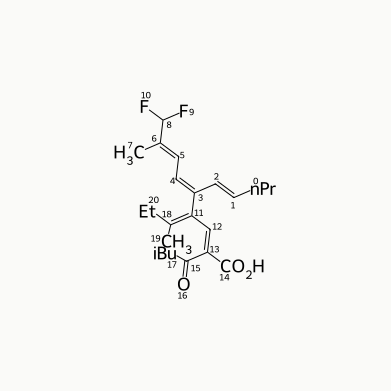 CCC/C=C/C(=C\C=C(/C)C(F)F)C(/C=C(/C(=O)O)C(=O)C(C)CC)=C(/C)CC